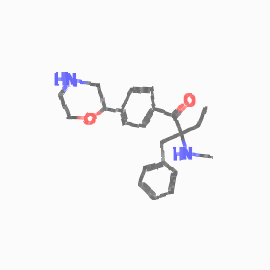 CCC(Cc1ccccc1)(NC)C(=O)c1ccc(C2CNCCO2)cc1